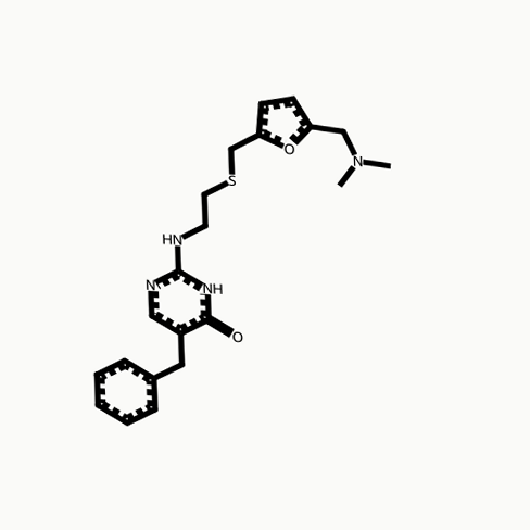 CN(C)Cc1ccc(CSCCNc2ncc(Cc3ccccc3)c(=O)[nH]2)o1